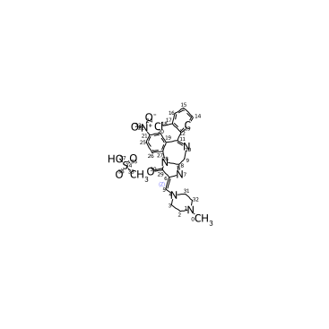 CN1CCN(/C=C2\N=C3CN=C(c4ccccc4Cl)c4cc([N+](=O)[O-])ccc4N3C2=O)CC1.CS(=O)(=O)O